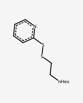 CCCCCCCCSSc1ccccn1